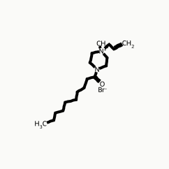 C=CC[N+]1(C)CCN(C(=O)CCCCCCCCC)CC1.[Br-]